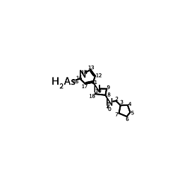 CN(CC1CCCC1)C1CN(c2ccnc([AsH2])c2)C1